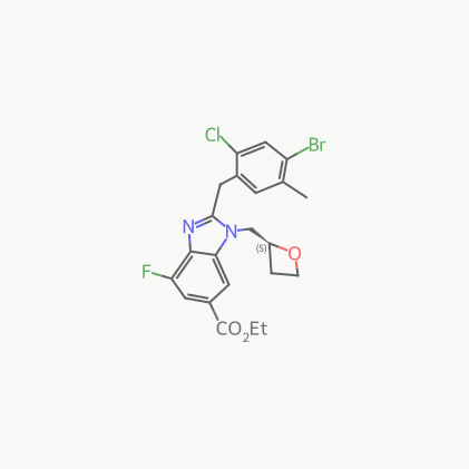 CCOC(=O)c1cc(F)c2nc(Cc3cc(C)c(Br)cc3Cl)n(C[C@@H]3CCO3)c2c1